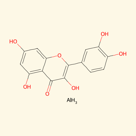 O=c1c(O)c(-c2ccc(O)c(O)c2)oc2cc(O)cc(O)c12.[AlH3]